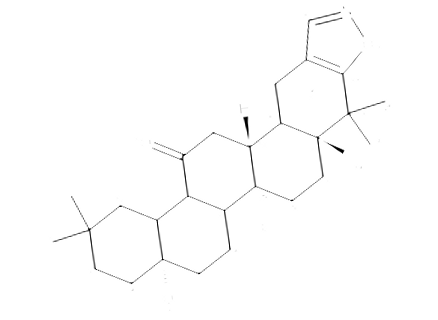 CC1(C)CC[C@]2(O)CCC3C(C(=O)C[C@@H]4[C@@]5(C)Cc6cnoc6C(C)(C)[C@@H]5CC[C@@]34C)C2C1